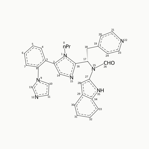 CCCn1c(-c2ccccc2-n2ccnc2)cnc1[C@H](Cc1ccncc1)N(C=O)c1cc2ccccc2[nH]1